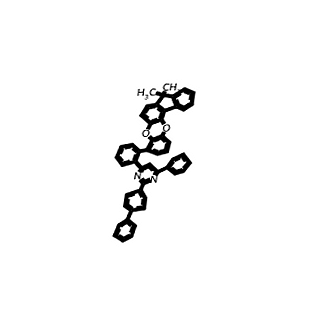 CC1(C)c2ccccc2-c2c1ccc1c2Oc2cccc(-c3ccccc3-c3cc(-c4ccccc4)nc(-c4ccc(-c5ccccc5)cc4)n3)c2O1